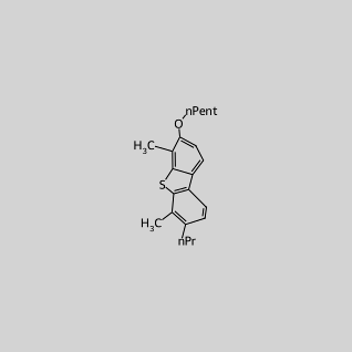 CCCCCOc1ccc2c(sc3c(C)c(CCC)ccc32)c1C